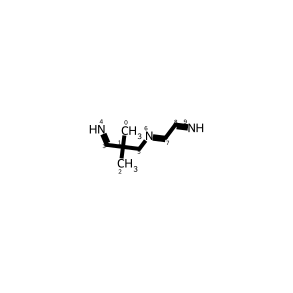 CC(C)(C=N)C/N=C/C=N